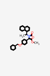 COc1oc(=O)n(C(C)c2cccc3ccccc23)c1-c1ccc(OCc2ccccc2)cc1